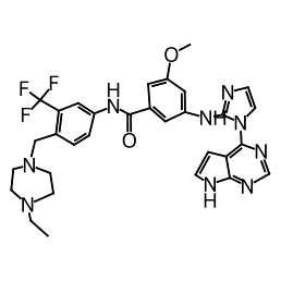 CCN1CCN(Cc2ccc(NC(=O)c3cc(Nc4nccn4-c4ncnc5[nH]ccc45)cc(OC)c3)cc2C(F)(F)F)CC1